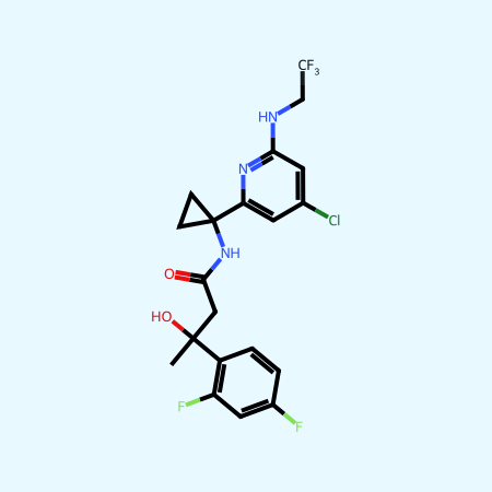 CC(O)(CC(=O)NC1(c2cc(Cl)cc(NCC(F)(F)F)n2)CC1)c1ccc(F)cc1F